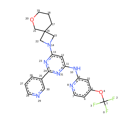 FC(F)(F)Oc1ccnc(Nc2cc(N3CC4(CCCOC4)C3)nc(-c3cccnc3)n2)c1